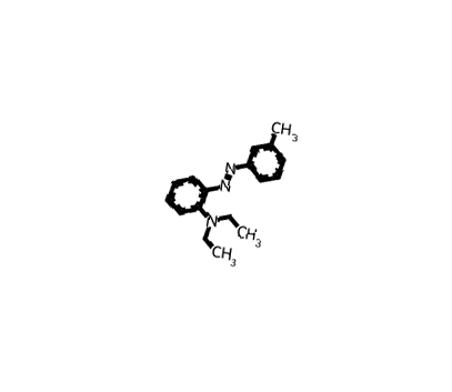 CCN(CC)c1ccccc1N=Nc1cccc(C)c1